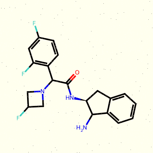 NC1c2ccccc2C[C@@H]1NC(=O)C(c1ccc(F)cc1F)N1CC(F)C1